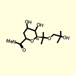 CNC(=O)C1CC(O)C(O)[C@@H](C(C)(C)OCC(C)(C)O)O1